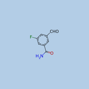 NC(=O)c1cc(F)cc(C=O)c1